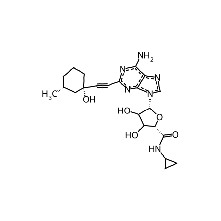 C[C@@H]1CCC[C@@](O)(C#Cc2nc(N)c3ncn([C@@H]4O[C@H](C(=O)NC5CC5)C(O)C4O)c3n2)C1